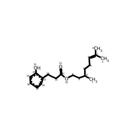 CC(C)=CCCC(C)CCOC(=O)CCc1ccccc1O